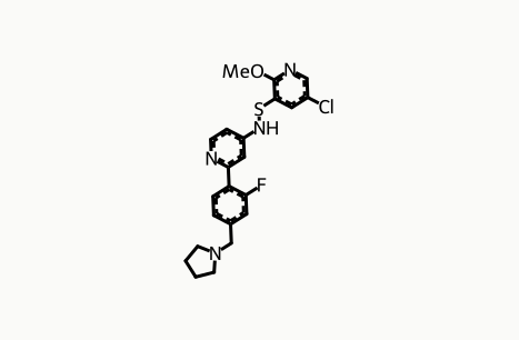 COc1ncc(Cl)cc1SNc1ccnc(-c2ccc(CN3CCCC3)cc2F)c1